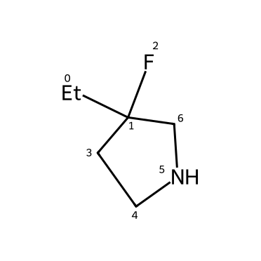 CCC1(F)CCNC1